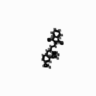 Cc1ccc(C[C@@H](N)CCN2C(=O)c3ccccc3C2=O)c(C)c1